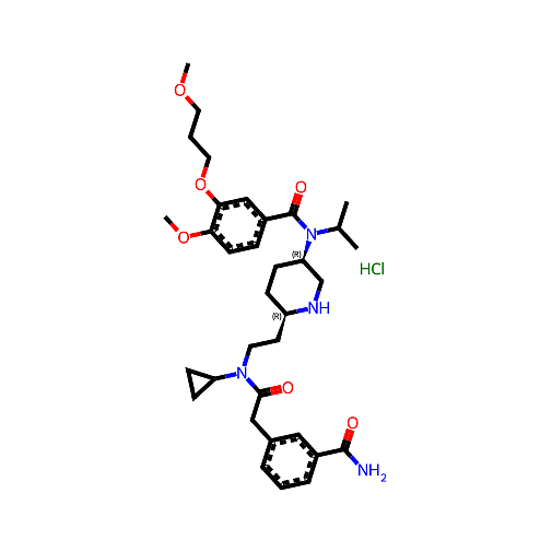 COCCCOc1cc(C(=O)N(C(C)C)[C@@H]2CC[C@H](CCN(C(=O)Cc3cccc(C(N)=O)c3)C3CC3)NC2)ccc1OC.Cl